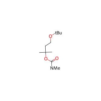 CNC(=O)OC(C)(C)CCOC(C)(C)C